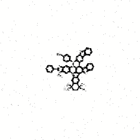 Cn1c(-c2ccccc2)nc2cc3c(cc21)-n1c2cc4c(cc2c2c5oc6ccccc6c5c5c(c21)B3N(c1ccc(C(C)(C)C)cc1)c1cc2sc3ccccc3c2cc1-5)C(C)(C)CCC4(C)C